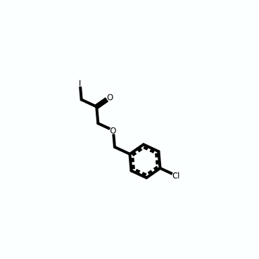 O=C(CI)COCc1ccc(Cl)cc1